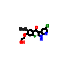 COc1cc(C(=O)c2c[nH]c3ncc(Cl)cc23)c(F)cc1OCCO